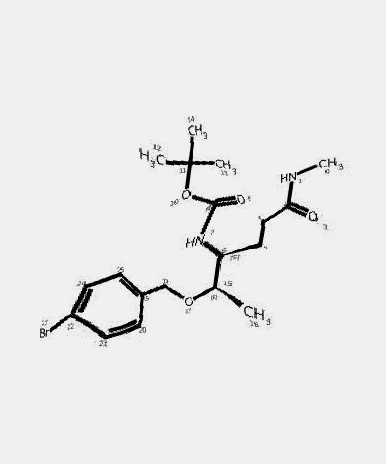 CNC(=O)CC[C@H](NC(=O)OC(C)(C)C)[C@@H](C)OCc1ccc(Br)cc1